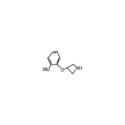 CC(C)(C)c1ccccc1OC1CNC1